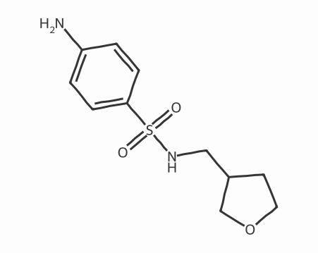 Nc1ccc(S(=O)(=O)NCC2CCOC2)cc1